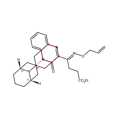 C=CCON=C(CCC(=O)OCC)c1nc2ccccc2n([C@H]2C[C@H]3CCC[C@@H](C2)N3C2CC3CCCC(C3)C2)c1=O